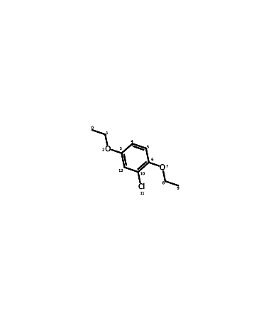 CCOc1[c]cc(OCC)c(Cl)c1